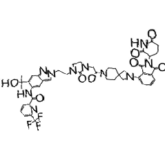 CC(C)(O)c1cc2nn(CCN3CCN(CC(=O)N4CCC5(CC4)CN(c4cccc6c4C(=O)N(C4CCC(=O)NC4=O)C6=O)C5)C3=O)cc2cc1NC(=O)c1cccc(C(F)(F)F)n1